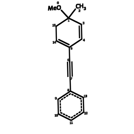 COC1(C)C=CC(C#Cc2ccccc2)=CC1